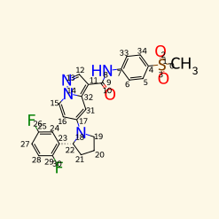 CS(=O)(=O)c1ccc(NC(=O)c2cnn3ccc(N4CCC[C@@H]4c4cc(F)ccc4F)cc23)cc1